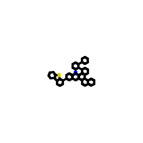 c1ccc(-c2ccccc2-c2c(-c3ccccc3)cccc2N(c2ccc(-c3cccc4c3sc3ccccc34)cc2)c2ccc3c(ccc4ccccc43)c2)cc1